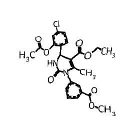 CCOC(=O)C1=C(C)N(c2cccc(C(=O)OC)c2)C(=O)NC1c1ccc(Cl)cc1OC(C)=O